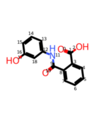 O=C(O)c1ccccc1C(=O)Nc1cccc(O)c1